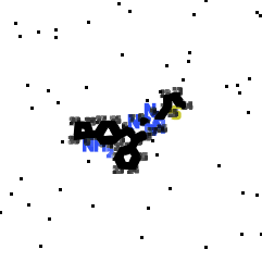 NC1(c2ccc(-c3nc4nc(-c5cccs5)nn4cc3-c3ccccc3)cc2)CCC1